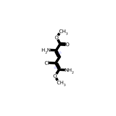 COC(=O)/C(N)=C/C(Cl)=C(\N)OC